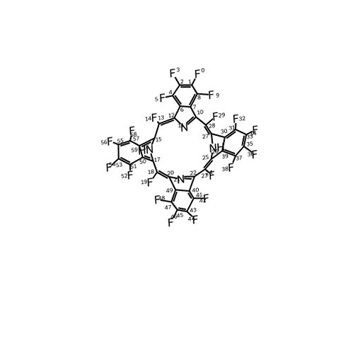 Fc1c(F)c(F)c2c(c1F)-c1nc-2c(F)c2[nH]c(c(F)c3nc(c(F)c4[nH]c(c1F)c1c(F)c(F)c(F)c(F)c41)-c1c(F)c(F)c(F)c(F)c1-3)c1c(F)c(F)c(F)c(F)c21